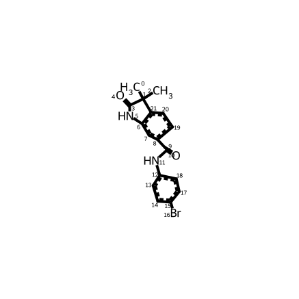 CC1(C)C(=O)Nc2cc(C(=O)Nc3ccc(Br)cc3)ccc21